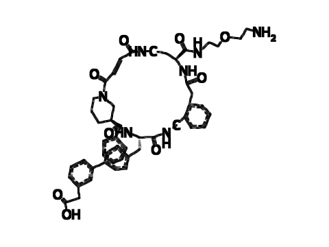 NCCOCCNC(=O)[C@@H]1CCNC(=O)/C=C/C(=O)N2CCC[C@](Cc3ccccc3)(C2)C(=O)N[C@@H](Cc2ccc(-c3cccc(CC(=O)O)c3)cc2)C(=O)NCc2ccccc2CC(=O)N1